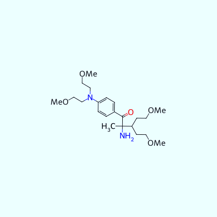 COCCC(CCOC)C(C)(N)C(=O)c1ccc(N(CCOC)CCOC)cc1